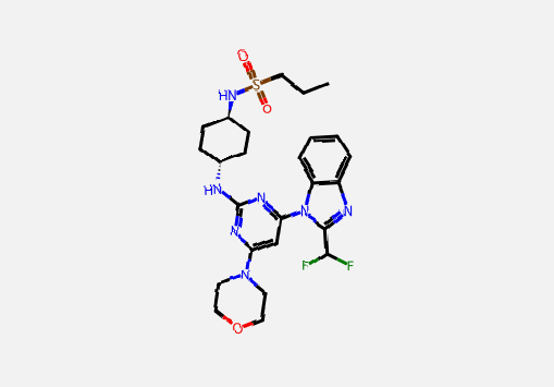 CCCS(=O)(=O)N[C@H]1CC[C@H](Nc2nc(N3CCOCC3)cc(-n3c(C(F)F)nc4ccccc43)n2)CC1